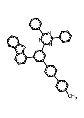 Cc1ccc(-c2ccc(-c3cc(-c4nc(-c5ccccc5)nc(-c5ccccc5)n4)cc(-c4cccc5c4sc4ccccc45)c3)cc2)cc1